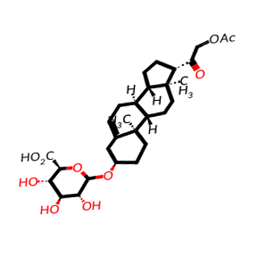 CC(=O)OCC(=O)[C@H]1CC[C@H]2[C@@H]3CC=C4C[C@H](OC5O[C@H](C(=O)O)[C@@H](O)[C@H](O)[C@H]5O)CC[C@]4(C)[C@H]3CC[C@]12C